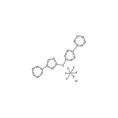 F[P-](F)(F)(F)(F)F.[H+].c1ccc(-c2ccc(Sc3cc(-c4ccccc4)cs3)cc2)cc1